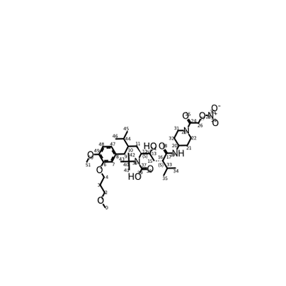 COCCCOc1cc(CC(C[C@@H]([C@@H](O)C[C@H](C(=O)NC2CCN(C(=O)CO[N+](=O)[O-])CC2)C(C)C)N(C(=O)O)C(C)(C)C)C(C)C)ccc1OC